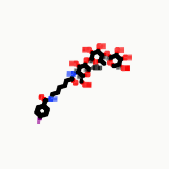 CC1O[C@@H](OC2C(O)[C@H](NC(=O)CCCCCNC(=O)c3ccc(I)cc3)[C@@H](CO)O[C@H]2C(C)(C)C)C(O)C(O)[C@H]1O[C@@H]1OC[C@@H](O)C(O)C1O